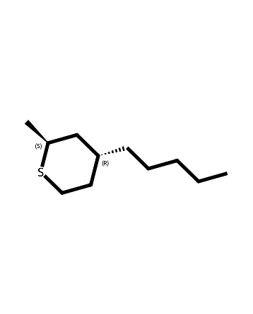 CCCCC[C@@H]1CCS[C@@H](C)C1